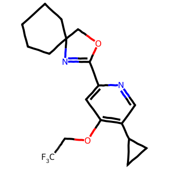 FC(F)(F)COc1cc(C2=NC3(CCCCC3)CO2)ncc1C1CC1